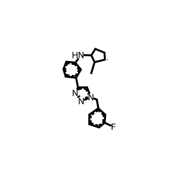 CC1[CH]CCC1Nc1cccc(-c2cn(Cc3cccc(F)c3)nn2)c1